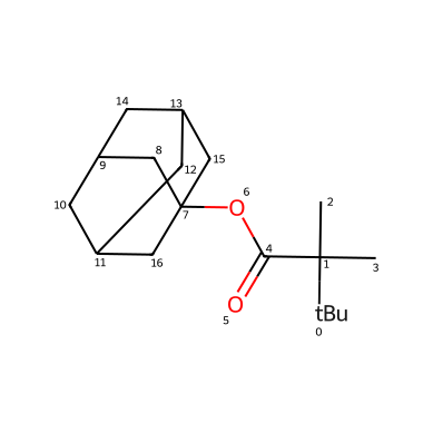 CC(C)(C)C(C)(C)C(=O)OC12CC3CC(CC(C3)C1)C2